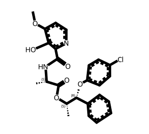 COc1ccnc(C(=O)N[C@@H](C)C(=O)O[C@@H](C)[C@H](Oc2ccc(Cl)cc2)c2ccccc2)c1O